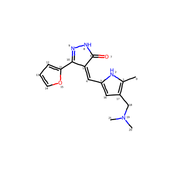 Cc1[nH]c(C=C2C(=O)NN=C2c2ccco2)cc1CN(C)C